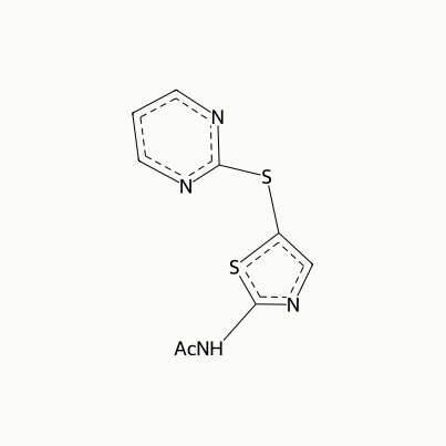 CC(=O)Nc1ncc(Sc2ncccn2)s1